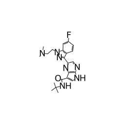 CN(C)CCn1nc(-c2cnc3[nH]cc(C(=O)NC(C)(C)C)c3n2)c2ccc(F)cc21